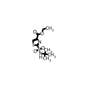 CCOC(=O)c1csc(S(=O)(=O)NC(C)(C)C)n1